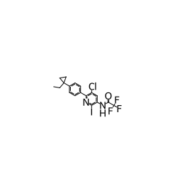 CCC1(c2ccc(-c3nc(I)c(NC(=O)C(F)(F)F)cc3Cl)cc2)CC1